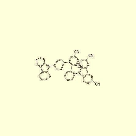 N#Cc1cc(C#N)c(-c2ccccc2-n2c3ccc(C#N)cc3c3cc(C#N)ccc32)c(-c2ccc(-n3c4ccccc4c4ccccc43)cc2)c1